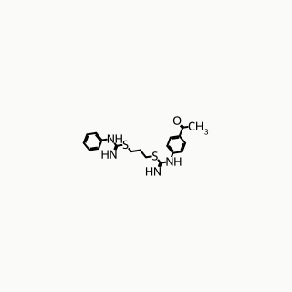 CC(=O)c1ccc(NC(=N)SCCCSC(=N)Nc2ccccc2)cc1